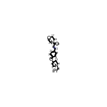 CC(C)CN1CCC(Oc2ccc(/C=C/C(=O)N3CCOCC3)cc2)CC1